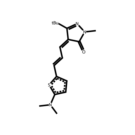 CN1N=C(C(C)(C)C)/C(=C/C=C/c2ccc(N(C)C)s2)C1=O